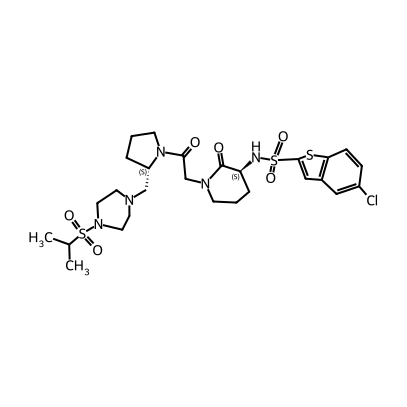 CC(C)S(=O)(=O)N1CCN(C[C@@H]2CCCN2C(=O)CN2CCC[C@H](NS(=O)(=O)c3cc4cc(Cl)ccc4s3)C2=O)CC1